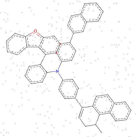 CC1CC=C(c2ccc(N(c3ccc(-c4ccc5ccccc5c4)cc3)c3ccccc3-c3cccc4oc5ccccc5c34)cc2)c2ccc3ccccc3c21